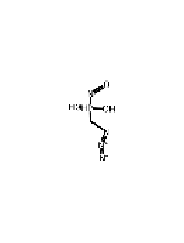 [N-]=[N+]=NC[PH](O)(O)N=O